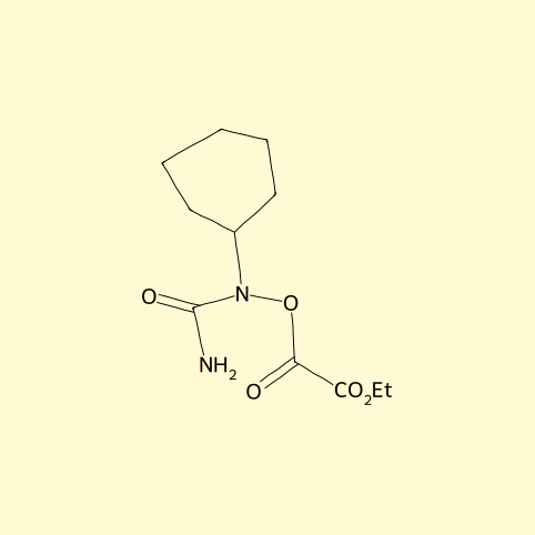 CCOC(=O)C(=O)ON(C(N)=O)C1CCCCC1